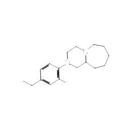 CCc1ccc(N2CCN3CCCCCC3C2)c(F)c1